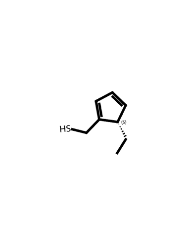 CC[C@H]1C=CC=C1CS